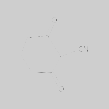 N#CC1C(=O)CCCC1=O